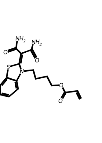 C=CC(=O)OCCCCN1C(=C(C(N)=O)C(N)=O)Sc2ccccc21